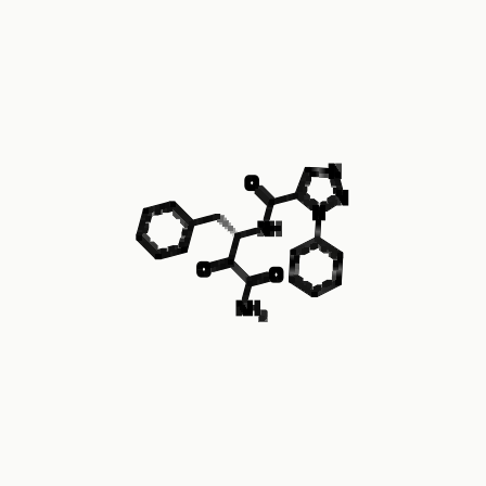 NC(=O)C(=O)[C@H](Cc1ccccc1)NC(=O)c1cnnn1-c1ccccc1